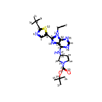 CCn1c(-c2cnc(C(C)(C)C)s2)nc2c(N[C@H]3CCN(C(=O)OC(C)(C)C)C3)ncnc21